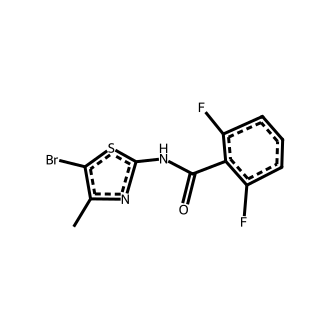 Cc1nc(NC(=O)c2c(F)cccc2F)sc1Br